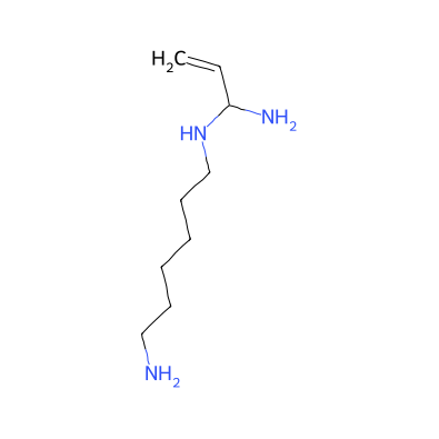 C=CC(N)NCCCCCCN